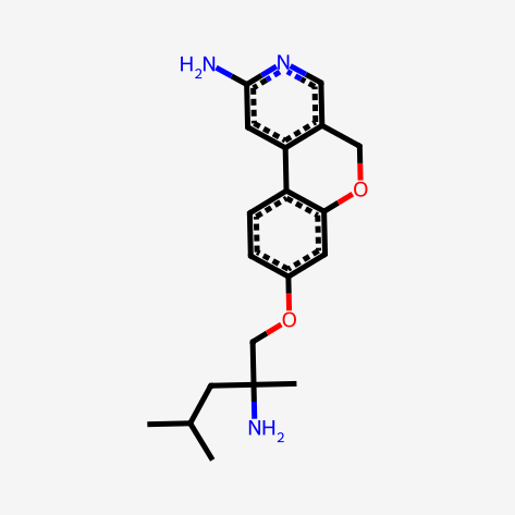 CC(C)CC(C)(N)COc1ccc2c(c1)OCc1cnc(N)cc1-2